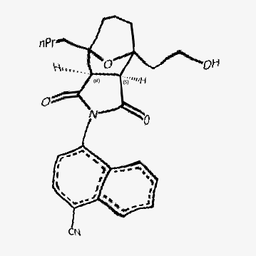 CCCC12CCC(CCO)(O1)[C@H]1C(=O)N(c3ccc(C#N)c4ccccc34)C(=O)[C@H]12